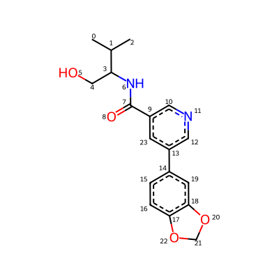 CC(C)C(CO)NC(=O)c1cncc(-c2ccc3c(c2)OCO3)c1